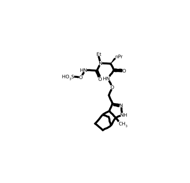 CCC[C@@H](C(=O)NOCC1=NNC2(C)C3CCC(C3)C12)N(CC)C(=O)NOS(=O)(=O)O